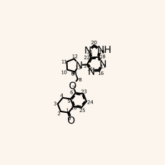 O=C1CCCc2c(OC[C@H]3CCCN3c3ncnc4[nH]cnc34)cccc21